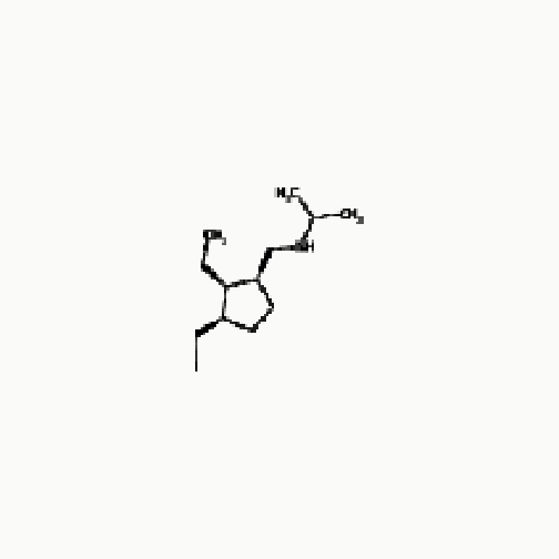 CC[C@@H]1[C@H](CI)CC[C@@H]1CNC(C)C